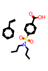 C=Cc1ccccc1.CCCN(CCC)S(=O)(=O)c1ccc(C(=O)O)cc1